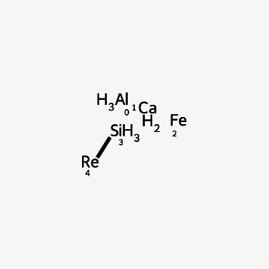 [AlH3].[CaH2].[Fe].[SiH3][Re]